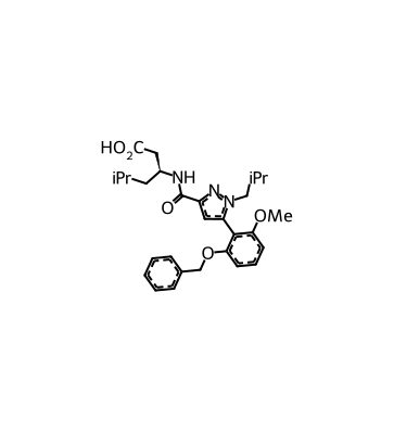 COc1cccc(OCc2ccccc2)c1-c1cc(C(=O)N[C@H](CC(=O)O)CC(C)C)nn1CC(C)C